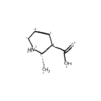 C[C@@H]1NCCCC1C(=O)O